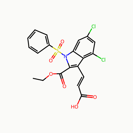 CCOC(=O)c1c(/C=C/C(=O)O)c2c(Cl)cc(Cl)cc2n1S(=O)(=O)c1ccccc1